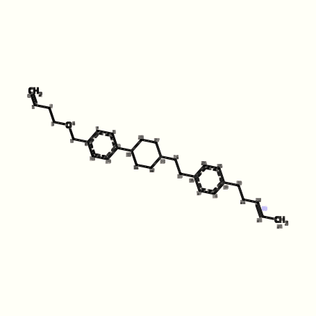 C=CCCOCc1ccc(C2CCC(CCc3ccc(CC/C=C/C)cc3)CC2)cc1